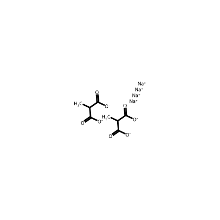 CC(C(=O)[O-])C(=O)[O-].CC(C(=O)[O-])C(=O)[O-].[Na+].[Na+].[Na+].[Na+]